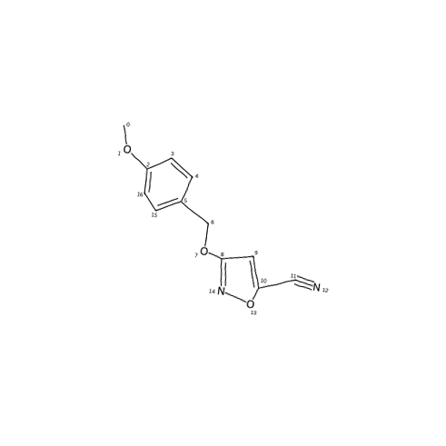 COc1ccc(COc2cc(C#N)on2)cc1